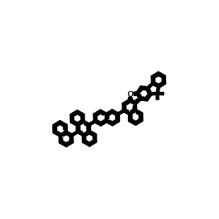 CC1(C)c2ccccc2-c2cc3oc4cc(-c5ccc6cc(-c7c8ccccc8c(-c8cccc9ccccc89)c8ccccc78)ccc6c5)c5ccccc5c4c3cc21